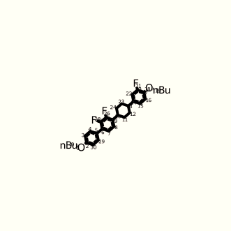 CCCCOc1ccc(-c2ccc(C3CCC(c4ccc(OCCCC)c(F)c4)CC3)c(F)c2F)cc1